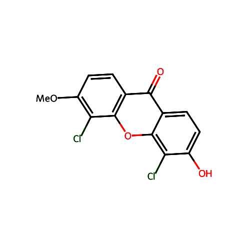 COc1ccc2c(=O)c3ccc(O)c(Cl)c3oc2c1Cl